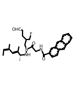 C/C=C(C)\C=C(/C)[C@@H](C)NN(CC(CF)CCC=O)C(=O)CNC(=O)c1ccc2cc3ccccc3cc2c1